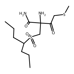 CCCC(CCC)S(=O)(=O)CC(N)(C(N)=O)C(=O)CSC